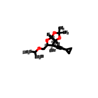 CCOC(=O)C(OC[C@H]1O[C@@H]2OC(C)(C)O[C@@H]2[C@]1(C#CC1CC1)OC(C)=O)C(=O)OCC